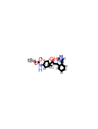 CC(C)(C)OC(=O)NC1CCC2(CC1)C[C@@H]([C@H]1c3ccccc3-c3cncn31)[C@@H]2O